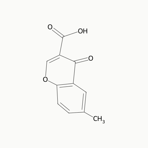 Cc1ccc2occ(C(=O)O)c(=O)c2c1